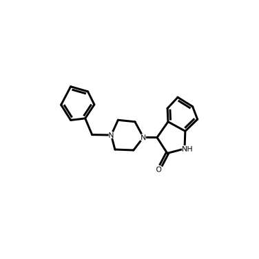 O=C1Nc2ccccc2C1N1CCN(Cc2ccccc2)CC1